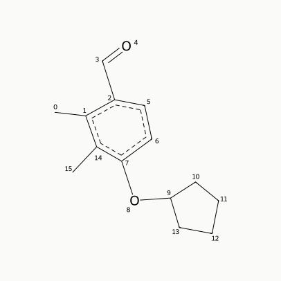 Cc1c(C=O)ccc(OC2CCCC2)c1C